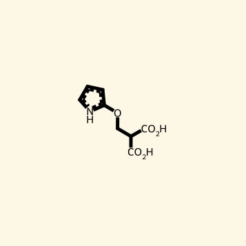 O=C(O)C(COc1ccc[nH]1)C(=O)O